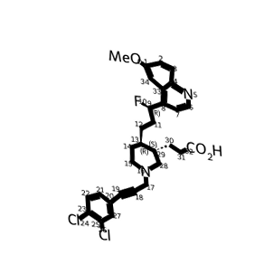 COc1ccc2nccc([C@H](F)CC[C@@H]3CCN(CC#Cc4ccc(Cl)c(Cl)c4)C[C@H]3CCC(=O)O)c2c1